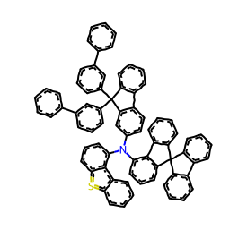 c1ccc(-c2cccc(C3(c4cccc(-c5ccccc5)c4)c4ccccc4-c4ccc(N(c5cccc6c5-c5ccccc5C65c6ccccc6-c6ccccc65)c5cccc6sc7ccccc7c56)cc43)c2)cc1